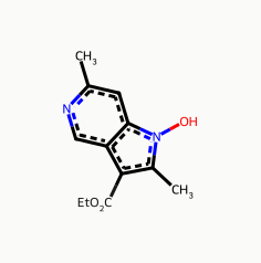 CCOC(=O)c1c(C)n(O)c2cc(C)ncc12